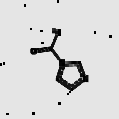 [2H]C(=O)n1ccnc1